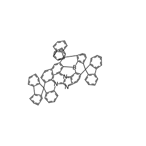 c1ccc2c(c1)-c1ccccc1C21c2cccc3c2B2c4c1ccc1nc5n6c7c(ccc8cc(c2c(c87)n5c41)C31c2ccccc2-c2ccccc21)C1(c2ccccc2-c2ccccc21)c1ccccc1-6